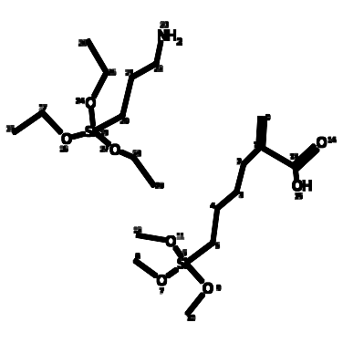 C=C(CCCC[Si](OC)(OC)OC)C(=O)O.CCO[Si](CCCN)(OCC)OCC